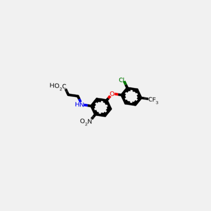 O=C(O)CCNc1cc(Oc2ccc(C(F)(F)F)cc2Cl)ccc1[N+](=O)[O-]